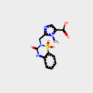 Cn1c(C(=O)O)cnc1CN1C(=O)Nc2ccccc2S1(=O)=O